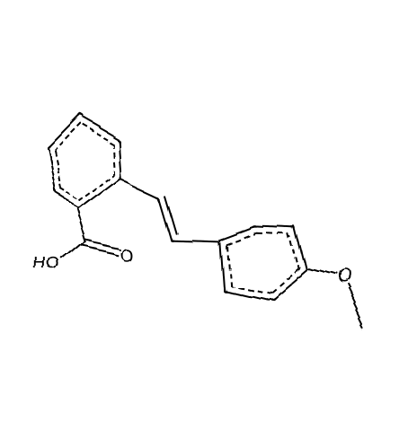 COc1ccc(C=Cc2ccccc2C(=O)O)cc1